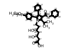 CC(C)c1c(C(=O)Nc2ccccc2)c(-c2ccccc2)c(-c2ccc(F)cc2)n1CC[C@@H](O)C[C@@H](O)CC(=O)O.O.[CaH2]